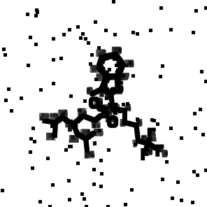 Cc1c(N(CCCCC(F)(F)F)S(=O)(=O)CCN(CC(C)C)CC(C)C)sc2ccccc12